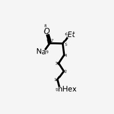 CCCCCCCCCCC(CC)[C](=O)[Na]